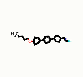 CCCCCOc1ccc(-c2ccc(C3CCC(/C=C/F)CC3)cc2)cc1